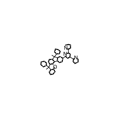 CC1(c2ccccc2)c2ccccc2Oc2c1ccc1c2-c2ccc(-c3cc(-c4ccccn4)cc(-c4ccccn4)n3)cc2C1(C)c1ccccc1